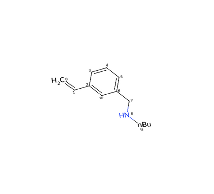 C=Cc1cccc(CNCCCC)c1